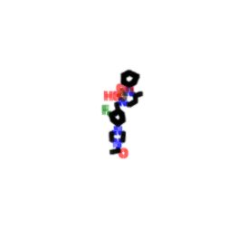 CC(=O)N1CCN(c2ccc(CN3CCC(C)N(c4ccccc4)S3(O)O)c(F)c2)CC1